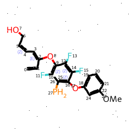 C=C/C(=C\C=C/CO)OC(=C\F)/C(F)=C(F)\C(Oc1cccc(OC)c1)=C(/C)P